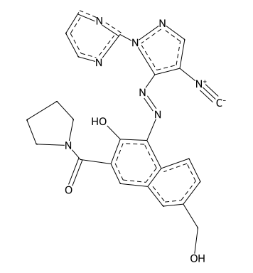 [C-]#[N+]c1cnn(-c2ncccn2)c1/N=N/c1c(O)c(C(=O)N2CCCC2)cc2cc(CO)ccc12